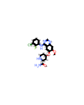 COc1cc2ncnc(Nc3cccc(Cl)c3F)c2cc1O[C@@H]1CCN[C@@H](C(N)=O)C1